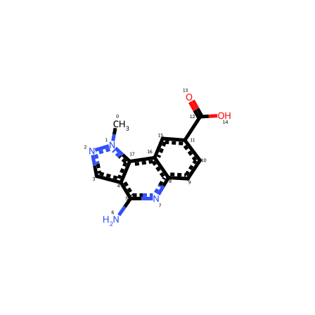 Cn1ncc2c(N)nc3ccc(C(=O)O)cc3c21